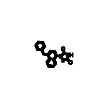 O=c1[nH]c(=O)n(-c2ccc(Cc3ccccc3)c3ccccc23)s1